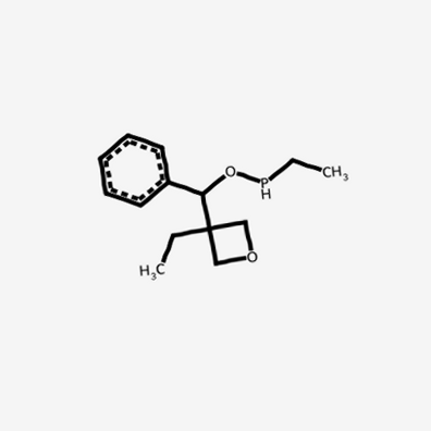 CCPOC(c1ccccc1)C1(CC)COC1